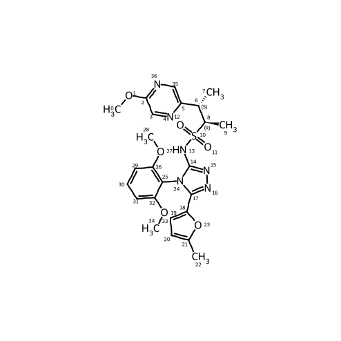 COc1cnc([C@H](C)[C@@H](C)S(=O)(=O)Nc2nnc(-c3ccc(C)o3)n2-c2c(OC)cccc2OC)cn1